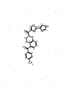 O=C(c1ccc(C(F)(F)F)cc1)c1cccc2c1CCN(C(=O)c1csc(-c3c[nH]cn3)n1)C2